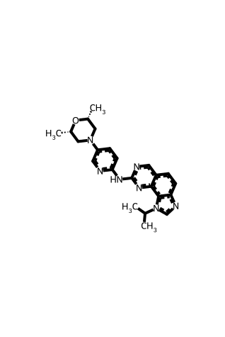 CC(C)n1cnc2ccc3cnc(Nc4ccc(N5C[C@@H](C)O[C@@H](C)C5)cn4)nc3c21